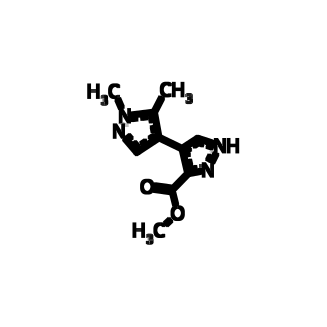 COC(=O)c1n[nH]cc1-c1cnn(C)c1C